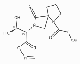 C[C@@H](O)[C@@H](c1ncno1)N1CC2(CCCN2C(=O)OC(C)(C)C)C1=O